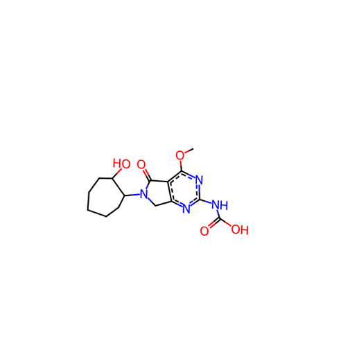 COc1nc(NC(=O)O)nc2c1C(=O)N(C1CCCCCC1O)C2